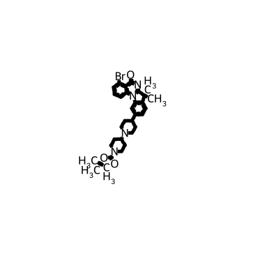 CC(C)(C)OC(=O)N1CCC(N2CCC(c3ccc4c(c3)-n3c(nc(=O)c5c(Br)cccc53)C4(C)C)CC2)CC1